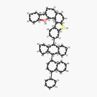 c1ccc(-c2ccc(-c3c4ccccc4c(-c4ccc5c(c4)sc4ccc6ccc7c8ccccc8oc7c6c45)c4ccccc34)c3ccccc23)cc1